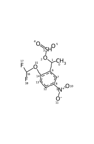 CC(O[SH](=O)=O)c1cc([N+](=O)[O-])ccc1OC(F)F